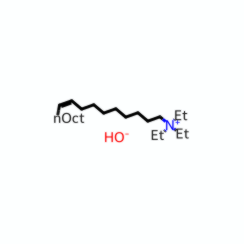 CCCCCCCC/C=C\CCCCCCCC[N+](CC)(CC)CC.[OH-]